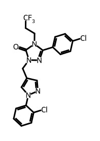 O=c1n(Cc2cnn(-c3ccccc3Cl)c2)nc(-c2ccc(Cl)cc2)n1CCC(F)(F)F